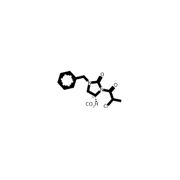 CC(Cl)C(=O)N1C(=O)N(Cc2ccccc2)C[C@H]1C(=O)O